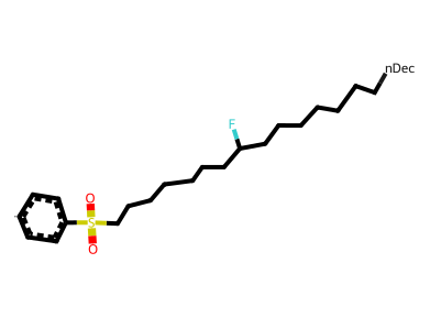 CCCCCCCCCCCCCCCCCC(F)CCCCCCCS(=O)(=O)c1cc[c]cc1